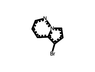 Brc1ccn2ncccc12